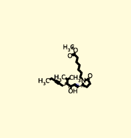 CCC#CC[C@H](C(C)C)[C@H](O)/C=C/[C@H]1CCC(=O)N1CCCCCCC(=O)OC